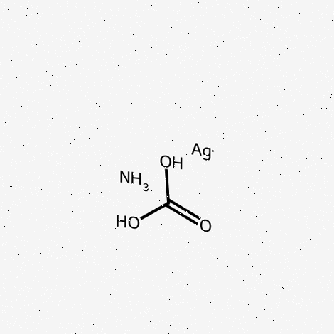 N.O=C(O)O.[Ag]